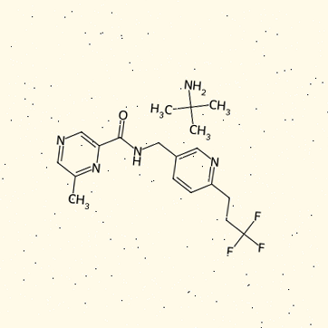 CC(C)(C)N.Cc1cncc(C(=O)NCc2ccc(CCC(F)(F)F)nc2)n1